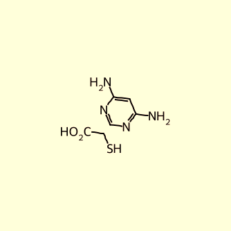 Nc1cc(N)ncn1.O=C(O)CS